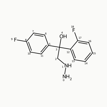 NNCC(O)(c1ccc(F)cc1)c1ccccc1F